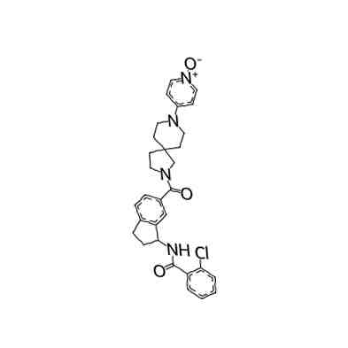 O=C(NC1CCc2ccc(C(=O)N3CCC4(CCN(c5cc[n+]([O-])cc5)CC4)C3)cc21)c1ccccc1Cl